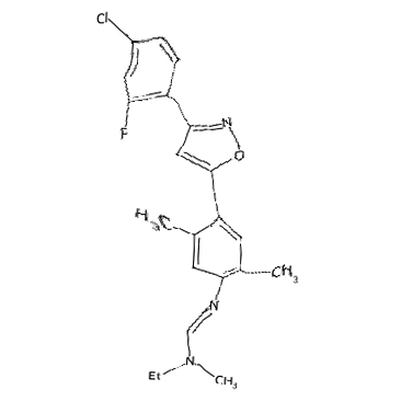 CCN(C)C=Nc1cc(C)c(-c2cc(-c3ccc(Cl)cc3F)no2)cc1C